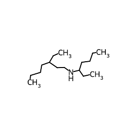 CCCCC(CC)CCNC(CC)CCCC